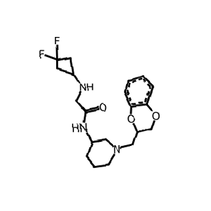 O=C(CNC1CC(F)(F)C1)NC1CCCN(CC2COc3ccccc3O2)C1